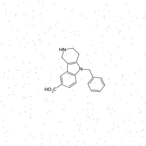 O=C(O)c1ccc2c(c1)c1c(n2Cc2ccccc2)CCNC1